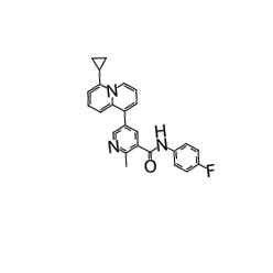 Cc1ncc(C2=CC=CN3C(C4CC4)=C=CC=C23)cc1C(=O)Nc1ccc(F)cc1